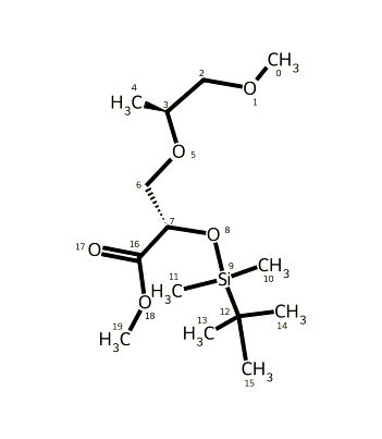 COC[C@H](C)OC[C@H](O[Si](C)(C)C(C)(C)C)C(=O)OC